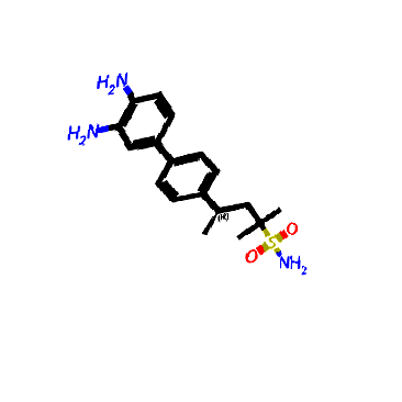 C[C@H](CC(C)(C)S(N)(=O)=O)c1ccc(-c2ccc(N)c(N)c2)cc1